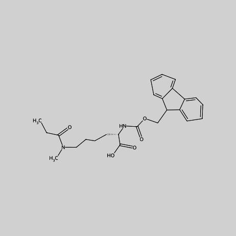 CCC(=O)N(C)CCCC[C@H](NC(=O)OCC1c2ccccc2-c2ccccc21)C(=O)O